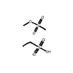 CCS(=O)(=O)O.COS(C)(=O)=O